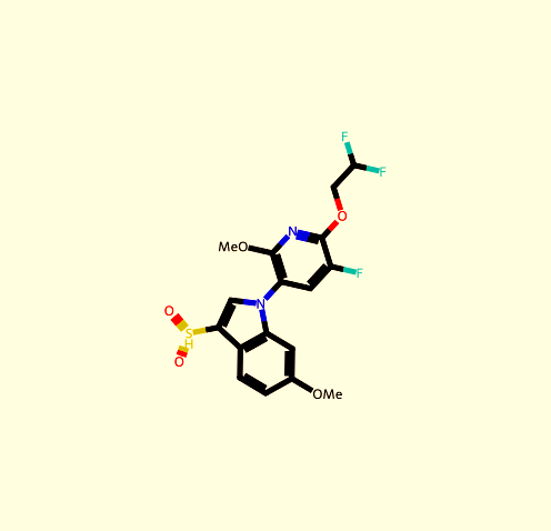 COc1ccc2c([SH](=O)=O)cn(-c3cc(F)c(OCC(F)F)nc3OC)c2c1